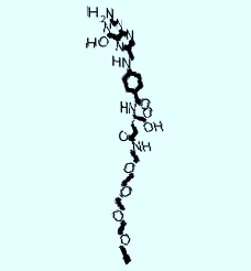 C#CCOCCOCCOCCOCCNC(=O)CC[C@H](NC(=O)C1CCC(NCc2cnc3nc(N)nc(O)c3n2)CC1)C(=O)O